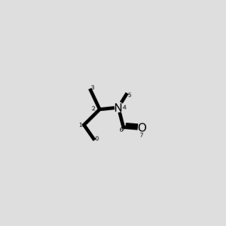 CCC(C)N(C)[C]=O